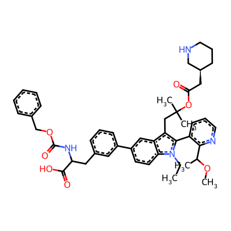 CCn1c(-c2cccnc2C(C)OC)c(CC(C)(C)OC(=O)C[C@@H]2CCCNC2)c2cc(-c3cccc(CC(NC(=O)OCc4ccccc4)C(=O)O)c3)ccc21